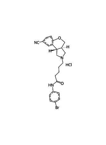 Cl.N#Cc1ccc2c(c1)[C@H]1CN(CCCCC(=O)Nc3ccc(Br)cc3)C[C@@H]1CO2